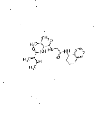 CN[C@@H](C)C(=O)N[C@H](C(=O)NCC(=O)NC1CCCc2ccccc21)C(C)C